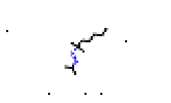 CCCCCC(C)(C)N=NC(C)C